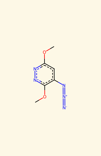 COc1cc(N=[N+]=[N-])c(OC)nn1